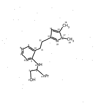 CCCC(CO)Nc1ncncc1CCc1cc(C)n(C)n1